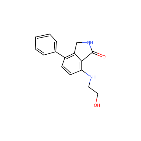 O=C1NCc2c(-c3ccccc3)ccc(NCCO)c21